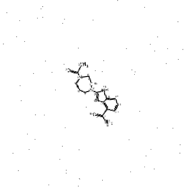 CC(=O)N1CCCN(c2nc3c(C(N)=O)cccc3[nH]2)CC1